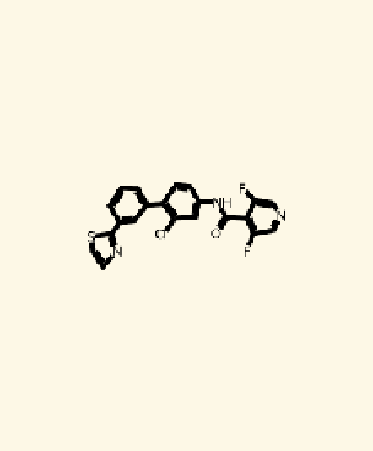 O=C(Nc1ccc(-c2cccc(-c3nccs3)c2)c(Cl)c1)c1c(F)cncc1F